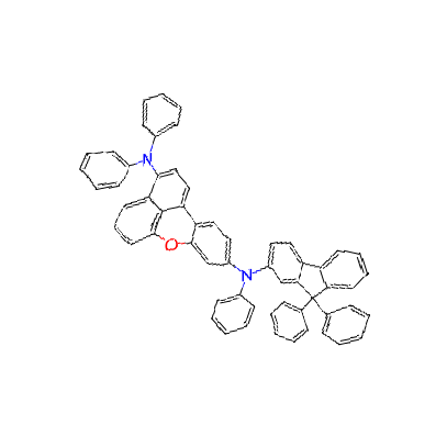 c1ccc(N(c2ccc3c(c2)Oc2cccc4c(N(c5ccccc5)c5ccccc5)ccc-3c24)c2ccc3c(c2)C(c2ccccc2)(c2ccccc2)c2ccccc2-3)cc1